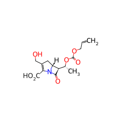 C=CCOC(=O)O[C@H](C)[C@H]1C(=O)N2C(C(=O)O)=C(CO)C[C@H]12